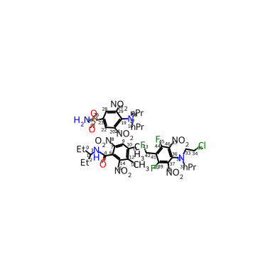 CCC(CC)NC(=O)c1c([N+](=O)[O-])cc(C)c(C)c1[N+](=O)[O-].CCCN(CCC)c1c([N+](=O)[O-])cc(S(N)(=O)=O)cc1[N+](=O)[O-].CCCN(CCCl)c1c([N+](=O)[O-])c(F)c(CF)c(F)c1[N+](=O)[O-]